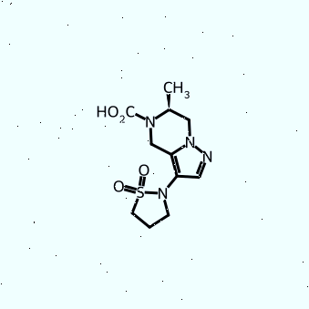 C[C@H]1Cn2ncc(N3CCCS3(=O)=O)c2CN1C(=O)O